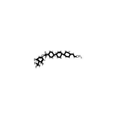 CCCC1CCC(C2C=CC(C3CCC(C(F)(F)Oc4cc(F)c(C(F)(F)F)c(F)c4)CC3)CC2)CC1